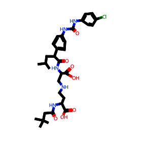 CC(C)CC(C(=O)NC(CNCCC(NC(=O)CC(C)(C)C)C(=O)O)C(=O)O)c1ccc(NC(=O)Nc2ccc(Cl)cc2)cc1